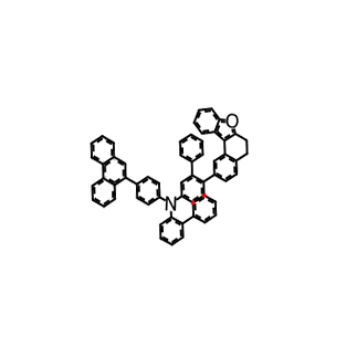 c1ccc(-c2cc(N(c3ccc(-c4cc5ccccc5c5ccccc45)cc3)c3ccccc3-c3ccccc3)ccc2-c2ccc3c(c2)-c2c(oc4ccccc24)CC3)cc1